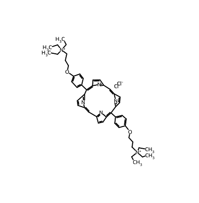 CC[N+](CC)(CC)CCCOc1ccc(C2=C3C=CC(=N3)C=C3C=CC(=N3)C(c3ccc(OCCC[N+](CC)(CC)CC)cc3)=C3C=CC(=N3)C=C3C=CC2=N3)cc1.[Cl-].[Cl-]